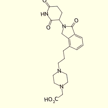 O=C(O)CN1CCN(CCCc2cccc3c2CN(C2CCC(=O)NC2=O)C3=O)CC1